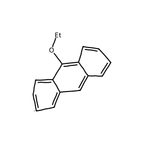 CCOc1c2cc[c]cc2cc2ccccc12